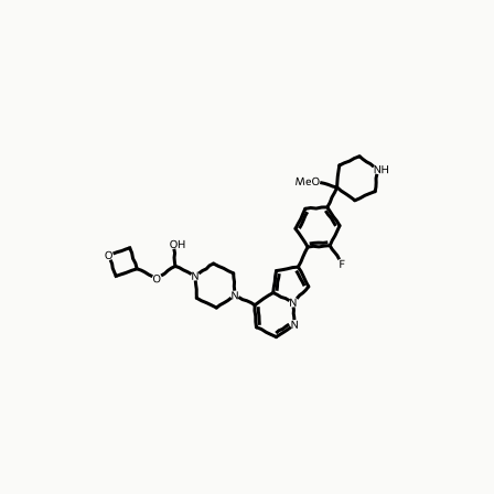 COC1(c2ccc(-c3cc4c(N5CCN(C(O)OC6COC6)CC5)ccnn4c3)c(F)c2)CCNCC1